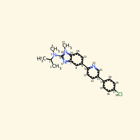 CC(C)N(C)c1nc2cc(-c3ccc(-c4ccc(Cl)cc4)cn3)ccc2n1C